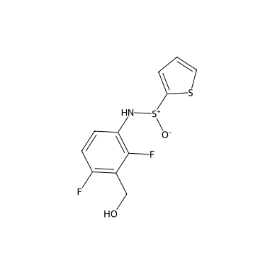 [O-][S+](Nc1ccc(F)c(CO)c1F)c1cccs1